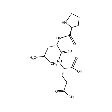 CC(C)C[C@H](NC(=O)[C@@H]1CCCN1)C(=O)N[C@@H](CCC(=O)O)C(=O)O